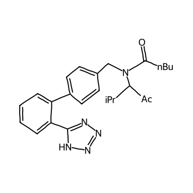 CCCCC(=O)N(Cc1ccc(-c2ccccc2-c2nnn[nH]2)cc1)C(C(C)=O)C(C)C